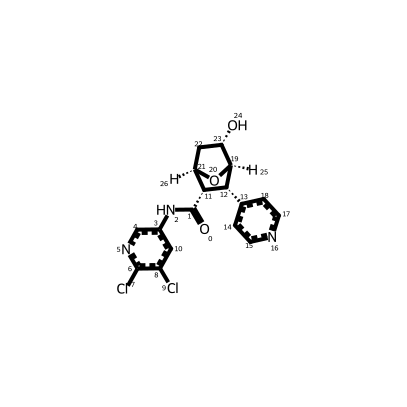 O=C(Nc1cnc(Cl)c(Cl)c1)[C@H]1[C@@H](c2ccncc2)[C@H]2O[C@@H]1C[C@@H]2O